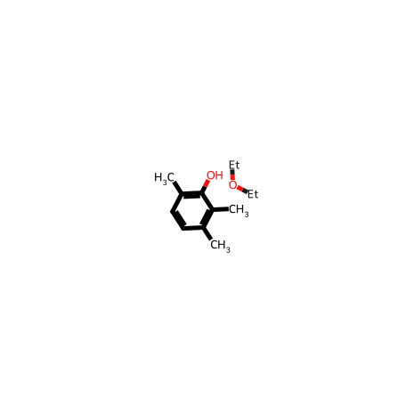 CCOCC.Cc1ccc(C)c(O)c1C